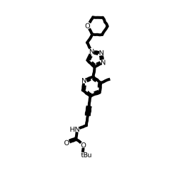 Cc1cc(C#CCNC(=O)OC(C)(C)C)cnc1-c1cn(CC2CCCCO2)nn1